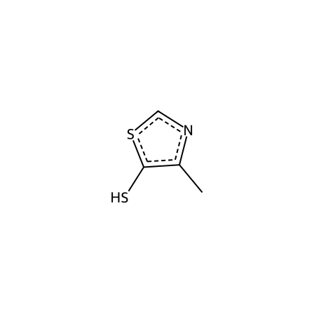 Cc1ncsc1S